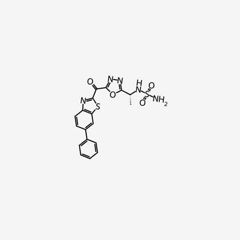 C[C@@H](NS(N)(=O)=O)c1nnc(C(=O)c2nc3ccc(-c4ccccc4)cc3s2)o1